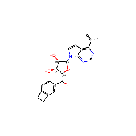 C=C(C)c1ncnc2c1ccn2[C@@H]1O[C@H](C(O)c2ccc3c(c2)CC3)[C@@H](O)[C@H]1O